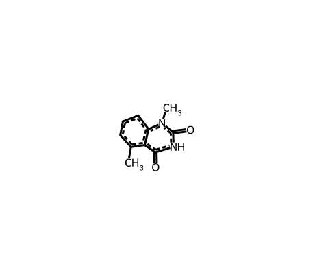 Cc1cccc2c1c(=O)[nH]c(=O)n2C